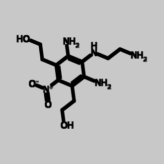 NCCNc1c(N)c(CCO)c([N+](=O)[O-])c(CCO)c1N